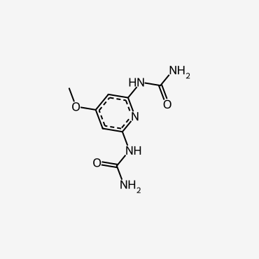 COc1cc(NC(N)=O)nc(NC(N)=O)c1